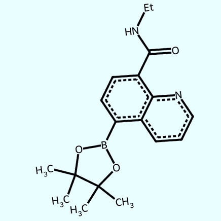 CCNC(=O)c1ccc(B2OC(C)(C)C(C)(C)O2)c2cccnc12